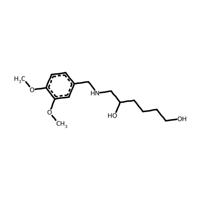 COc1ccc(CNCC(O)CCCCO)cc1OC